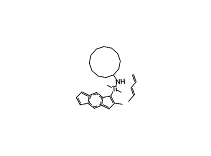 C=CC=CC.CC1=[C]([Ti]([CH3])([CH3])[NH]C2CCCCCCCCCCC2)c2cc3c(cc2=C1)C=CC=3